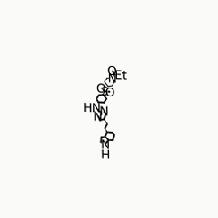 CCC(=O)N1CCC(S(=O)(=O)c2ccc(Nc3ncc(/C=C/c4cccc5[nH]ccc45)cn3)cc2)CC1